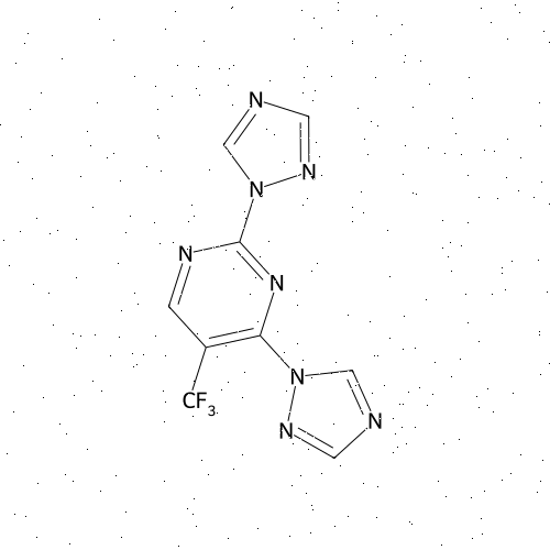 FC(F)(F)c1cnc(-n2cncn2)nc1-n1cncn1